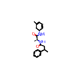 CC1=C[C]=C[C@@H](NC(=O)[C@H](C)NC(=O)CC(C)c2ccccc2)C1